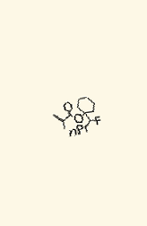 C=C(C)C(=O)OC1(C(F)CCC)CCCCC1